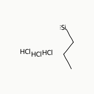 CCC[Si].Cl.Cl.Cl